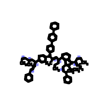 C=C/C=C(\C=C(/C)N(c1ccc(C(=B/C=C/c2ccccc2)/C=C(C)/C=C\C)cc1)c1ccc(-c2ccc(-c3ccccc3)cc2)cc1)c1cccc2c1c(/C=C\C(C)c1ccccc1)c(CC)n2C(/C=C\C)=C/C